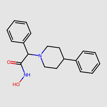 O=C(NO)C(c1ccccc1)N1CCC(c2ccccc2)CC1